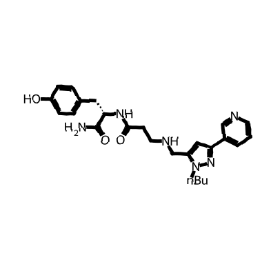 CCCCn1nc(-c2cccnc2)cc1CNCCC(=O)N[C@@H](Cc1ccc(O)cc1)C(N)=O